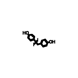 Oc1ccc(CC(I)(I)c2ccc(O)cc2)cc1